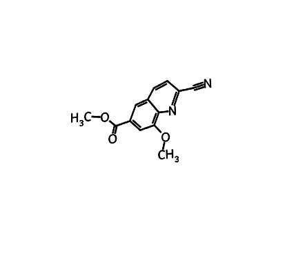 COC(=O)c1cc(OC)c2nc(C#N)ccc2c1